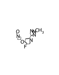 Cn1ncc(-c2cc(OC3CN(C=O)C3)c(F)cn2)n1